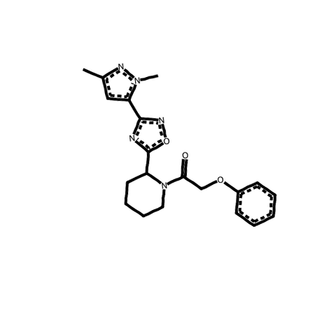 Cc1cc(-c2noc(C3CCCCN3C(=O)COc3ccccc3)n2)n(C)n1